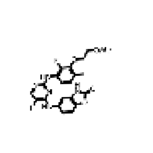 COCCOc1c(C)ccc(Nc2ncc(F)c(Nc3ccc4oc(=O)[nH]c4c3)n2)c1F